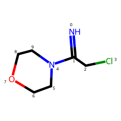 N=C(CCl)N1CCOCC1